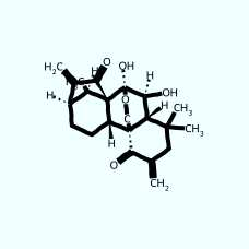 C=C1CC(C)(C)[C@H]2[C@H](O)[C@@]3(O)OC[C@]2(C1=O)[C@@H]1CC[C@H]2C(=C)C(=O)[C@]13[C@@H]2C